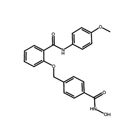 COc1ccc(NC(=O)c2ccccc2OCc2ccc(C(=O)NO)cc2)cc1